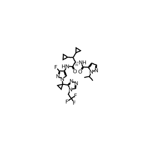 CC(C)n1nccc1C(=O)N[C@H](C(=O)Nc1cn(C2(c3nncn3CC(F)(F)F)CC2)nc1F)C(C1CC1)C1CC1